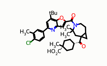 Cc1cc(-c2cc(C(C)(C)C)c3oc(C(=O)N4CCC5CC5(C(=O)[C@H]5CC[C@@](C)(C(=O)O)CC5)CC4(C)C)cc3n2)ccc1Cl